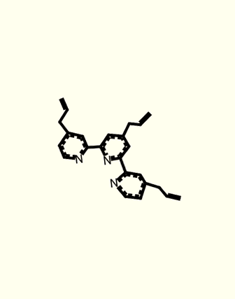 C=CCc1ccnc(-c2cc(CC=C)cc(-c3cc(CC=C)ccn3)n2)c1